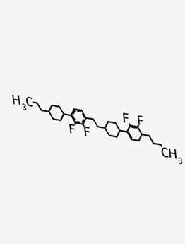 CCCCC1CC=C(C2CCC(CCc3ccc(C4CCC(CCC)CC4)c(F)c3F)CC2)C(F)=C1F